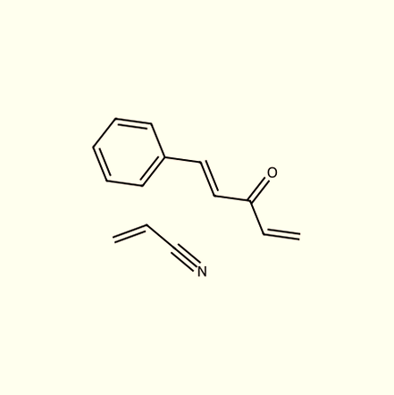 C=CC#N.C=CC(=O)C=Cc1ccccc1